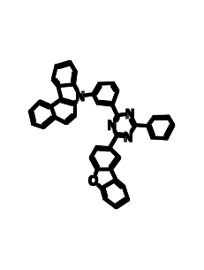 c1ccc(-c2nc(-c3cccc(-n4c5ccccc5c5c6ccccc6ccc54)c3)nc(-c3ccc4oc5ccccc5c4c3)n2)cc1